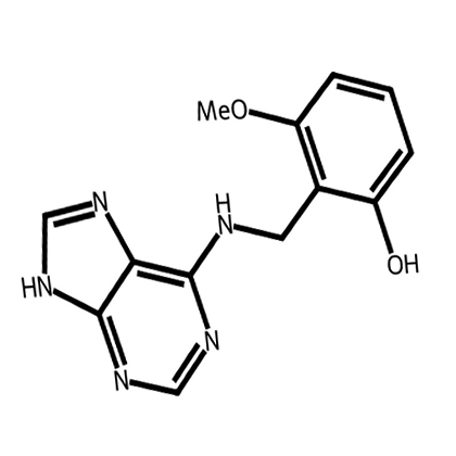 COc1cccc(O)c1CNc1ncnc2[nH]cnc12